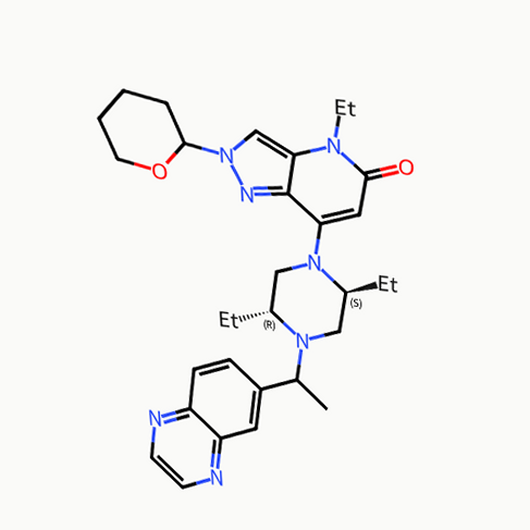 CC[C@H]1CN(C(C)c2ccc3nccnc3c2)[C@H](CC)CN1c1cc(=O)n(CC)c2cn(C3CCCCO3)nc12